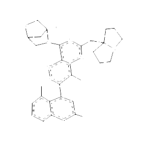 Oc1cc(-c2nnc3c(N4C[C@@H]5C[C@H]4CN5)nc(CC45CCCN4CCC5)nc3c2F)c2c(Cl)cccc2c1